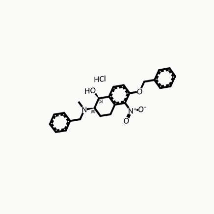 CN(Cc1ccccc1)[C@@H]1CCc2c(ccc(OCc3ccccc3)c2[N+](=O)[O-])[C@@H]1O.Cl